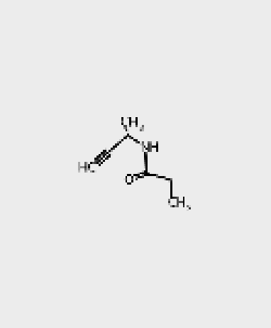 C#C[C@H](C)NC(=O)CC